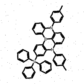 Cc1ccc(N2c3ccccc3B3c4ccc([Si](c5ccccc5)(c5ccccc5)c5ccccc5)cc4N(c4ccc(C)cc4)c4cccc2c43)cc1